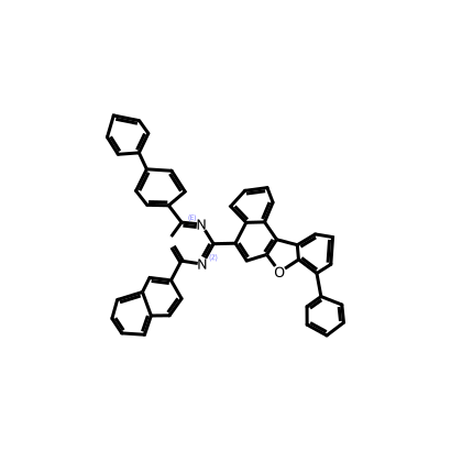 C=C(/N=C(\N=C(/C)c1ccc(-c2ccccc2)cc1)c1cc2oc3c(-c4ccccc4)cccc3c2c2ccccc12)c1ccc2ccccc2c1